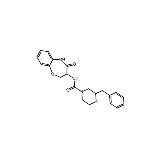 O=C1Nc2ccccc2OCC1NC(=O)N1CCCC(Cc2ccccc2)C1